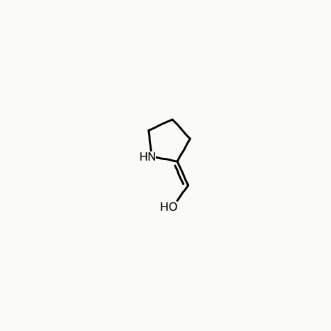 O/C=C1/CCCN1